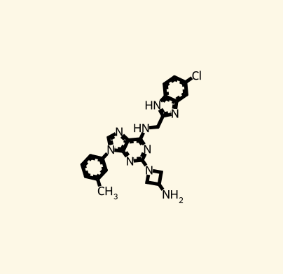 Cc1cccc(-n2cnc3c(NCc4nc5cc(Cl)ccc5[nH]4)nc(N4CC(N)C4)nc32)c1